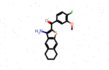 COc1cc(C(=O)c2sc3cc4c(cc3c2N)CCCC4)ccc1F